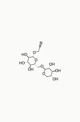 N#CCO[C@@H]1O[C@H](CO[C@@H]2OC[C@@H](O)[C@H](O)[C@H]2O)[C@@H](O)[C@H](O)[C@H]1O